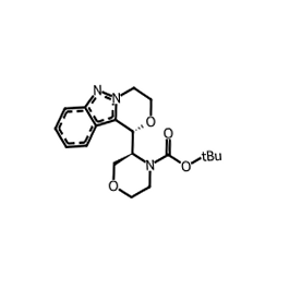 CC(C)(C)OC(=O)N1CCOC[C@H]1[C@H]1OCCn2nc3ccccc3c21